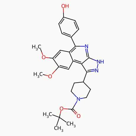 COc1cc2c(-c3ccc(O)cc3)nc3[nH]nc(C4CCN(C(=O)OC(C)(C)C)CC4)c3c2cc1OC